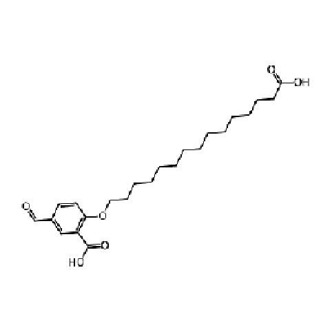 O=Cc1ccc(OCCCCCCCCCCCCCCC(=O)O)c(C(=O)O)c1